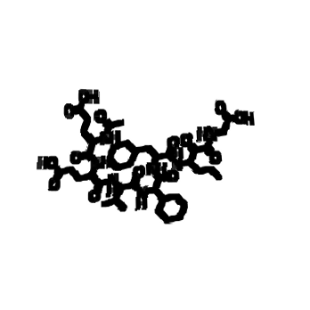 CCCC(NC(=O)C(CC1CCCCC1)NC(=O)C(NC(=O)C(NC(=O)C(CCC(=O)O)NC(=O)C(CCC(=O)O)NC(C)=O)C(C)C)C1CCCCC1)C(=O)C(=O)NCC(=O)O